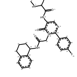 CNC(C)C(=O)Nc1cnc(-c2ccc(F)cc2)n(CC(=O)NC2CCCc3ccccc32)c1=O